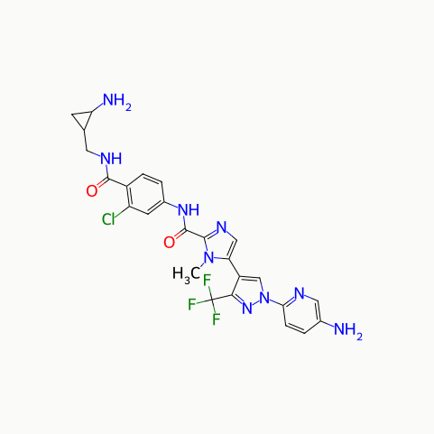 Cn1c(-c2cn(-c3ccc(N)cn3)nc2C(F)(F)F)cnc1C(=O)Nc1ccc(C(=O)NCC2CC2N)c(Cl)c1